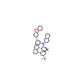 CC(C)(C)c1cc(-c2cccc3cccc(-c4ccccc4N(c4cccc(-c5ccc6oc7ccccc7c6c5)c4)c4ccc5ccccc5c4)c23)cc(C(C)(C)C)c1